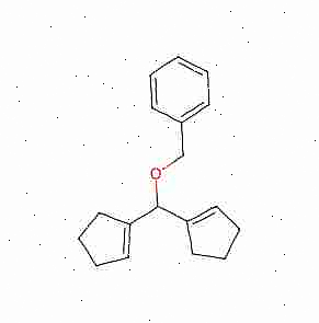 C1=C(C(OCc2ccccc2)C2=CCCC2)CCC1